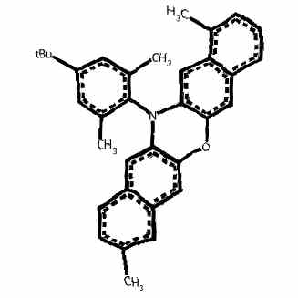 Cc1ccc2cc3c(cc2c1)Oc1cc2cccc(C)c2cc1N3c1c(C)cc(C(C)(C)C)cc1C